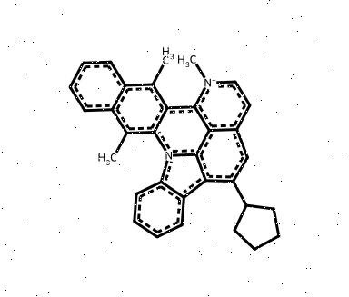 Cc1c2ccccc2c(C)c2c1c1c3c(cc[n+]1C)cc(C1CCCC1)c1c4ccccc4n2c13